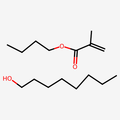 C=C(C)C(=O)OCCCC.CCCCCCCCO